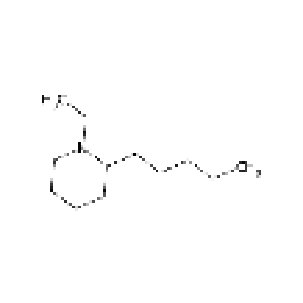 CCCCCC1CCCCN1CC